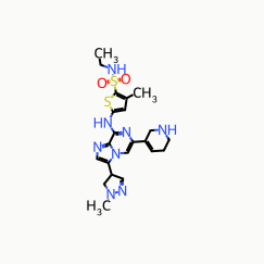 CCNS(=O)(=O)c1sc(Nc2nc(C3=CCCNC3)cn3c(C4C=NN(C)C4)cnc23)cc1C